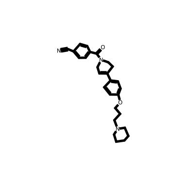 N#Cc1ccc(C(=O)N2CC=C(c3ccc(OCCCN4CCCCC4)cc3)CC2)cc1